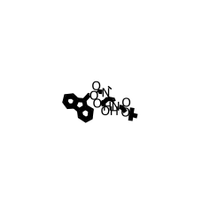 CN(C(=O)OCC1c2ccccc2-c2ccccc21)C(CNC(=O)OC(C)(C)C)C(=O)O